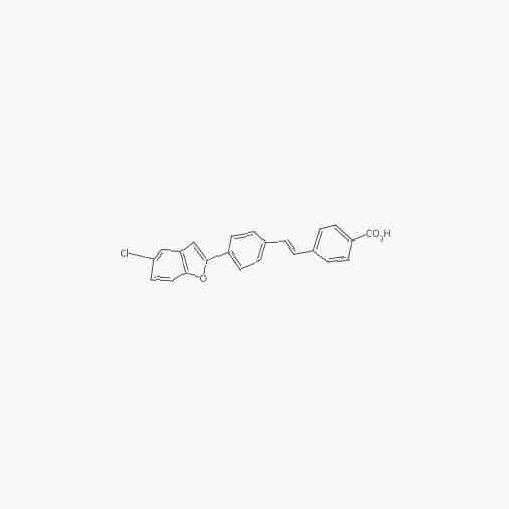 O=C(O)c1ccc(C=Cc2ccc(-c3cc4cc(Cl)ccc4o3)cc2)cc1